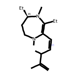 C=C(C)C(C)/C=C\C1=C(CC)N(C)[C@H](CC)CCN1C